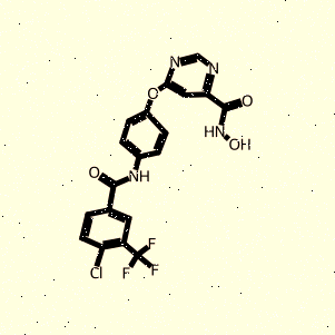 O=C(Nc1ccc(Oc2cc(C(=O)NO)ncn2)cc1)c1ccc(Cl)c(C(F)(F)F)c1